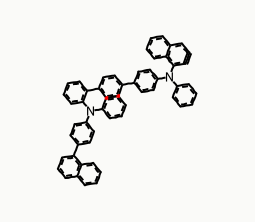 c1cc2ccccc2c(N(c2ccccc2)c2ccc(-c3ccc(-c4ccccc4N(c4ccccc4)c4ccc(-c5cccc6ccccc56)cc4)cc3)cc2)c#1